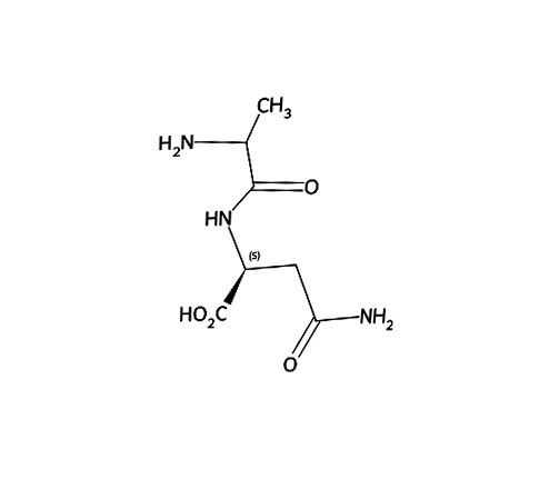 CC(N)C(=O)N[C@@H](CC(N)=O)C(=O)O